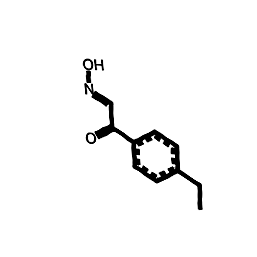 CCc1ccc(C(=O)/C=N/O)cc1